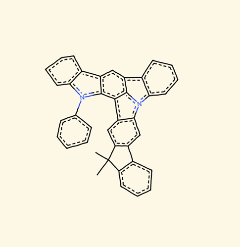 CC1(C)c2ccccc2-c2cc3c(cc21)c1c2c(cc4c5ccccc5n3c41)c1ccccc1n2-c1ccccc1